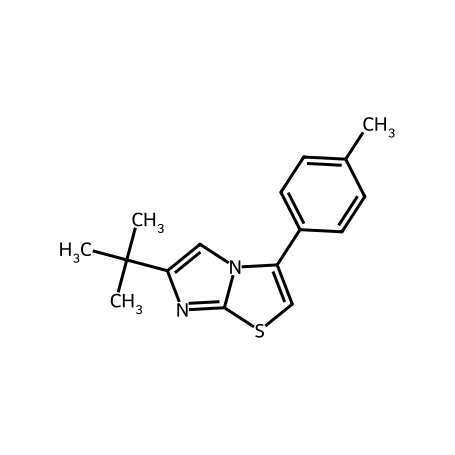 Cc1ccc(-c2csc3nc(C(C)(C)C)cn23)cc1